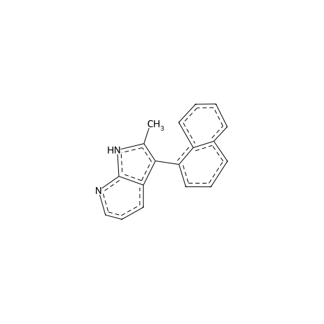 Cc1[nH]c2ncccc2c1-c1cccc2ccccc12